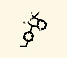 CCc1ccc(C(N)c2ncccc2C(F)(F)F)cc1